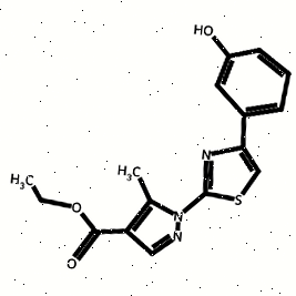 CCOC(=O)c1cnn(-c2nc(-c3cccc(O)c3)cs2)c1C